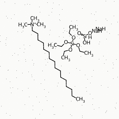 CCCCCCCCCCCCCCCC[N+](C)(C)C.CCO[Si](OCC)(OCC)OCC.O=[Si](O)O.[NaH].[NaH]